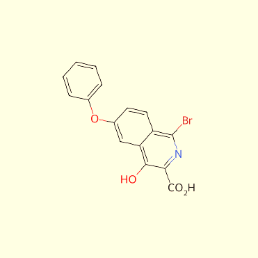 O=C(O)c1nc(Br)c2ccc(Oc3ccccc3)cc2c1O